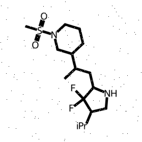 CC(C)C1CNC(CC(C)C2CCCN(S(C)(=O)=O)C2)C1(F)F